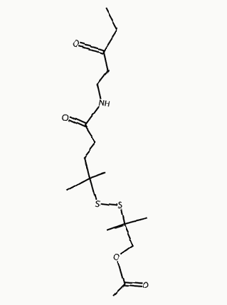 CCC(=O)CCNC(=O)CCC(C)(C)SSC(C)(C)COC(C)=O